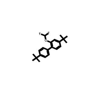 CC(C)(C)c1ccc(-c2ccc(C(C)(C)C)cc2OC(F)F)cc1